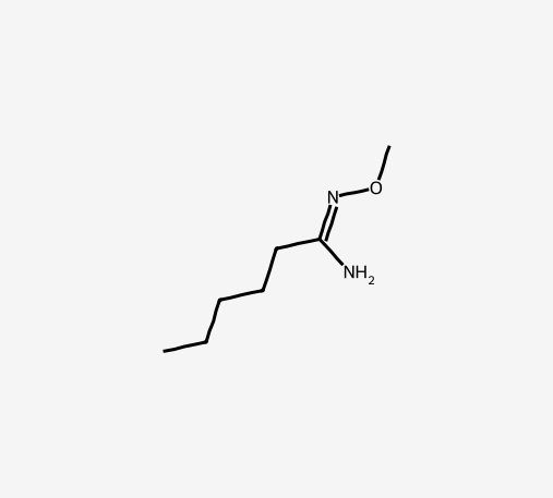 CCCCC/C(N)=N/OC